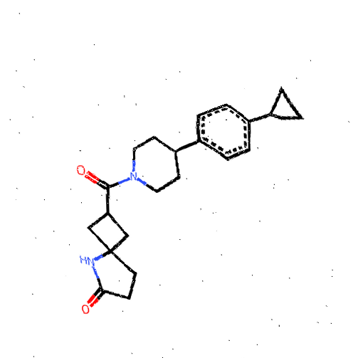 O=C1CCC2(CC(C(=O)N3CCC(c4ccc(C5CC5)cc4)CC3)C2)N1